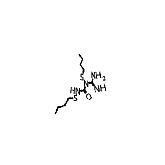 CCCCSNC(=O)N(SCCCC)C(=N)N